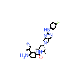 C=C(/C=N\C)c1cc(C(=O)N[C@H](C)C[C@H](CCC)N2Cc3cnc(Nc4ccc(F)cc4)nc3C2)ccc1N